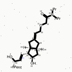 CCCCC[C@H](O)/C=C/[C@@H]1[C@H]2CC(=CCOCC(=O)N(C(C)C)C(C)C)C[C@H]2C[C@H]1O